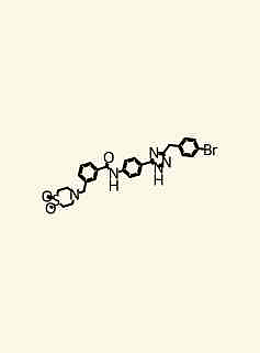 O=C(Nc1ccc(-c2nc(Cc3ccc(Br)cc3)n[nH]2)cc1)c1cccc(CN2CCS(=O)(=O)CC2)c1